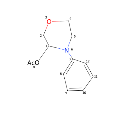 CC(=O)OC1COCCN1c1ccccc1